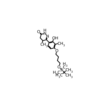 Cc1c(OCCCCO[Si](C)(C)C(C)(C)C)ccc(C2=NNC(=O)CC2C)c1O